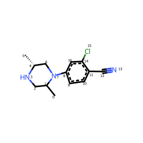 CC1CN[C@H](C)CN1c1ccc(C#N)c(Cl)c1